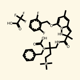 CC1=CC2=CC(C)(C(=O)NCC(C)(CC[Si](C)(C)C)N(Cc3ccccc3)C(=O)O)NN2C(OCc2c(F)cccc2F)=C1.O=C(O)C(F)(F)F